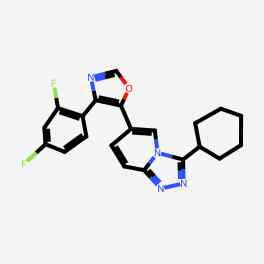 Fc1ccc(-c2ncoc2-c2ccc3nnc(C4CCCCC4)n3c2)c(F)c1